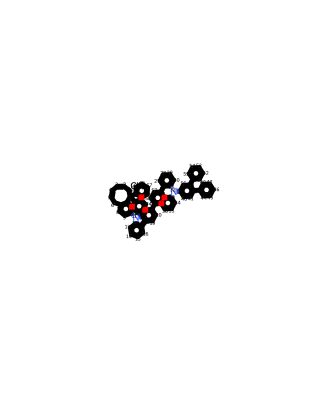 C=C1/C=C\C=C/Cc2ccc(-n3c4ccccc4c4ccc(-c5ccc(-c6ccccc6N(c6ccccc6)c6ccc(-c7ccccc7)c(-c7ccccc7)c6)cc5)cc43)cc2C1(c1ccccc1)c1ccccc1